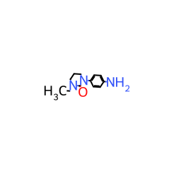 CCN1CCCN(c2ccc(N)cc2)C1=O